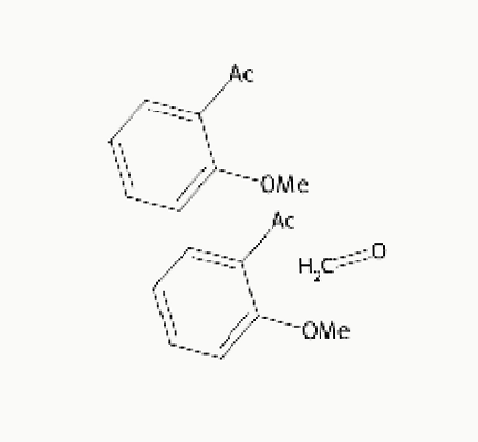 C=O.COc1ccccc1C(C)=O.COc1ccccc1C(C)=O